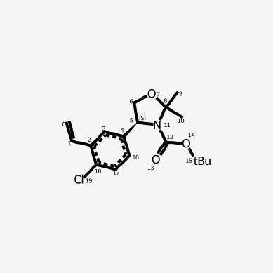 C=Cc1cc([C@H]2COC(C)(C)N2C(=O)OC(C)(C)C)ccc1Cl